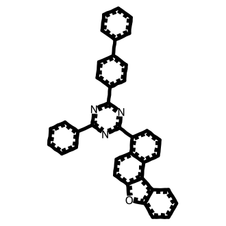 c1ccc(-c2ccc(-c3nc(-c4ccccc4)nc(-c4cccc5c4ccc4oc6ccccc6c45)n3)cc2)cc1